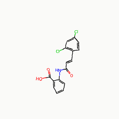 O=C(C=Cc1ccc(Cl)cc1Cl)Nc1ccccc1C(=O)O